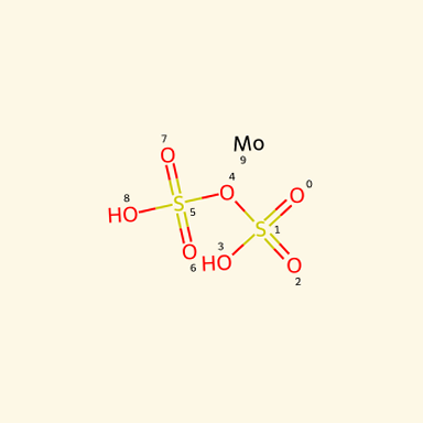 O=S(=O)(O)OS(=O)(=O)O.[Mo]